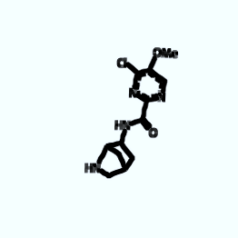 COc1cnc(C(=O)NC2CC3CNC2C3)nc1Cl